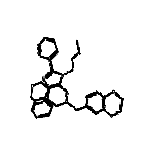 CCCCn1c(-c2ccccc2)nc(-c2ccccc2)c1CN(Cc1ccc2c(c1)OCCO2)CC1CCOCC1